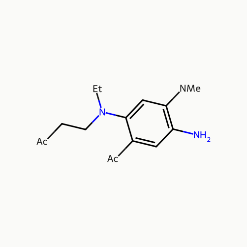 CCN(CCC(C)=O)c1cc(NC)c(N)cc1C(C)=O